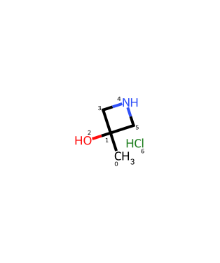 CC1(O)CNC1.Cl